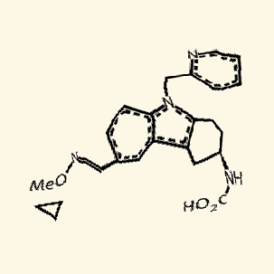 C1CC1.CON=Cc1ccc2c(c1)c1c(n2Cc2ccccn2)CC[C@@H](NC(=O)O)C1